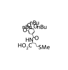 CCCCOc1cc(C(=O)N[C@@H](CCSC)C(=O)O)cc(OCCCC)c1OCCCC